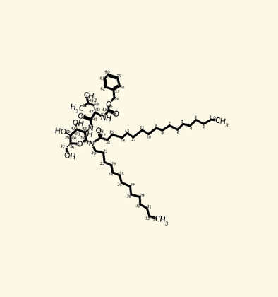 CCCCCCCCCCCCCCCCCC(=O)N(CCCCCCCCCCCCCC)[C@@H]1O[C@H](CO)[C@@H](O)[C@H](O)[C@H]1NC(=O)[C@H](CC(C)C)NC(=O)OCc1ccccc1